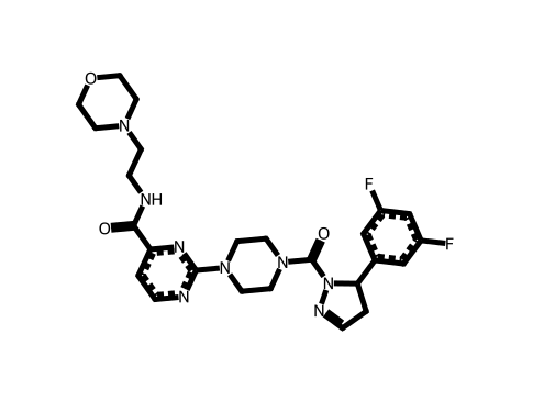 O=C(NCCN1CCOCC1)c1ccnc(N2CCN(C(=O)N3N=CCC3c3cc(F)cc(F)c3)CC2)n1